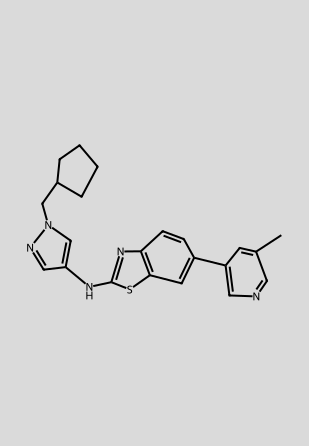 Cc1cncc(-c2ccc3nc(Nc4cnn(CC5CCCC5)c4)sc3c2)c1